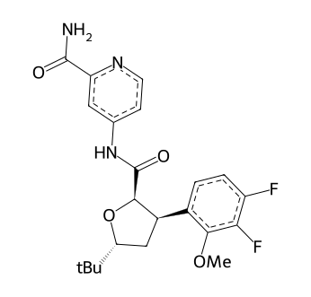 COc1c([C@H]2C[C@H](C(C)(C)C)O[C@H]2C(=O)Nc2ccnc(C(N)=O)c2)ccc(F)c1F